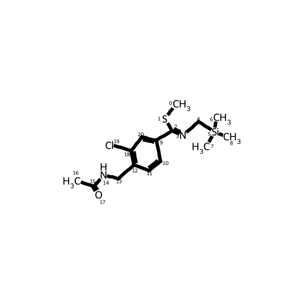 CSC(=NC[Si](C)(C)C)c1ccc(CNC(C)=O)c(Cl)c1